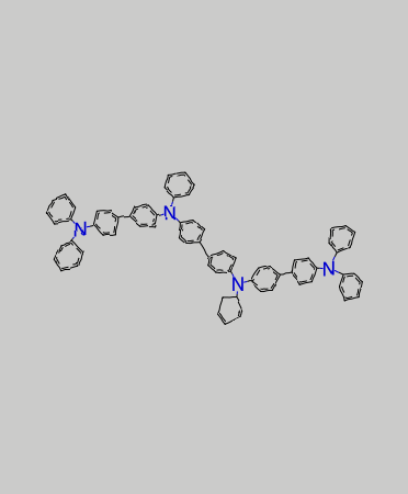 C1=CCC(N(c2ccc(-c3ccc(N(c4ccccc4)c4ccccc4)cc3)cc2)c2ccc(-c3ccc(N(c4ccccc4)c4ccc(-c5ccc(N(c6ccccc6)c6ccccc6)cc5)cc4)cc3)cc2)C=C1